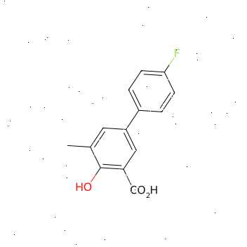 Cc1cc(-c2ccc(F)cc2)cc(C(=O)O)c1O